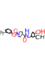 Cc1cc(CNC(=O)C2CCN(C(=O)Oc3cccc(C(C)C)c3)CC2)ccc1O